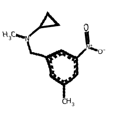 Cc1cc(CN(C)C2CC2)cc([N+](=O)[O-])c1